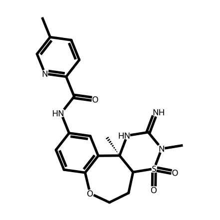 Cc1ccc(C(=O)Nc2ccc3c(c2)[C@@]2(C)NC(=N)N(C)S(=O)(=O)C2CCO3)nc1